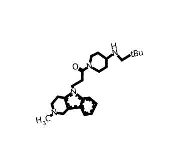 CN1CCc2c(c3ccccc3n2CCC(=O)N2CCC(NCC(C)(C)C)CC2)C1